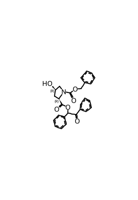 O=C(c1ccccc1)C(OC(=O)[C@H]1C[C@@H](O)CN1C(=O)OCc1ccccc1)c1ccccc1